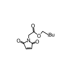 CCC(C)COC(=O)CN1C(=O)C=CC1=O